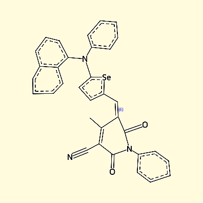 CC1=C(C#N)C(=O)N(c2ccccc2)C(=O)/C1=C/c1ccc(N(c2ccccc2)c2cccc3ccccc23)[se]1